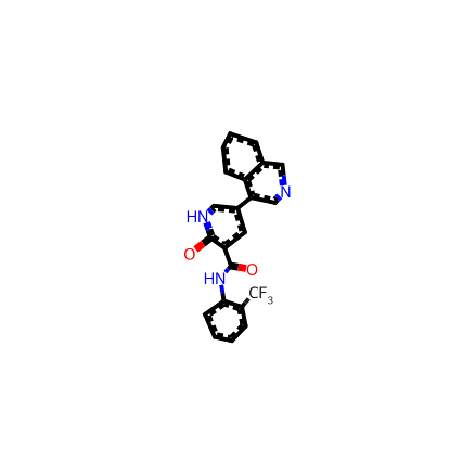 O=C(Nc1ccccc1C(F)(F)F)c1cc(-c2cncc3ccccc23)c[nH]c1=O